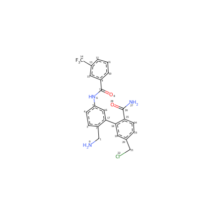 NCc1ccc(NC(=O)c2cccc(C(F)(F)F)c2)cc1-c1cc(CCl)ccc1C(N)=O